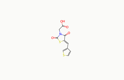 O=C(O)CN1C(=O)S/C(=C\c2ccsc2)C1=O